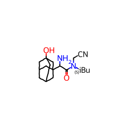 CC[C@H](C)N(CC#N)C(=O)C(N)C12CC3CC(CC(O)(C3)C1)C2